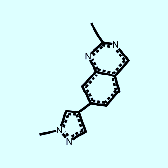 Cc1ncc2ccc(-c3cnn(C)c3)cc2n1